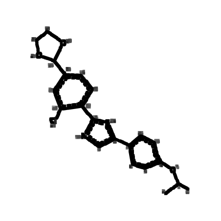 CC(C)Oc1ccc(-c2cnc(-c3ccc(C4OCCO4)cc3Cl)s2)cc1